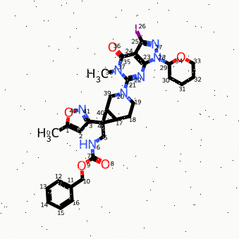 Cc1cc(C2(CNC(=O)OCc3ccccc3)C3CCN(c4nc5c(c(I)nn5C5CCCCO5)c(=O)n4C)CC32)no1